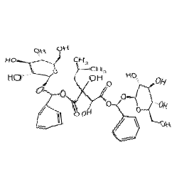 CC(C)CC(O)(C(=O)OC(O[C@@H]1O[C@H](CO)[C@@H](O)[C@H](O)[C@H]1O)c1ccccc1)C(O)C(=O)OC(O[C@@H]1O[C@H](CO)[C@@H](O)[C@H](O)[C@H]1O)c1ccccc1